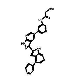 CC(C)(C)CC(=O)Nc1cncc(-c2cnc3[nH]nc(-c4cc5c(-c6ccncc6)cccc5[nH]4)c3c2)c1